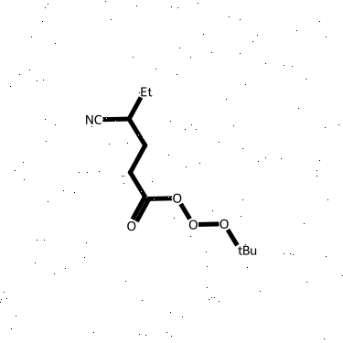 CCC(C#N)CCC(=O)OOOC(C)(C)C